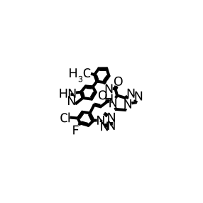 Cc1cccc(NC(=O)C2c3nncn3CCN2C(=O)/C=C/c2cc(Cl)c(F)cc2-n2cnnn2)c1-c1ccc2cn[nH]c2c1